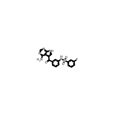 Nc1ncnc2[nH]cc(C(=O)c3cccc(NS(=O)(=O)c4cccc(F)c4)c3)c12